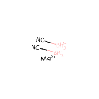 [BH3-]C#N.[BH3-]C#N.[Mg+2]